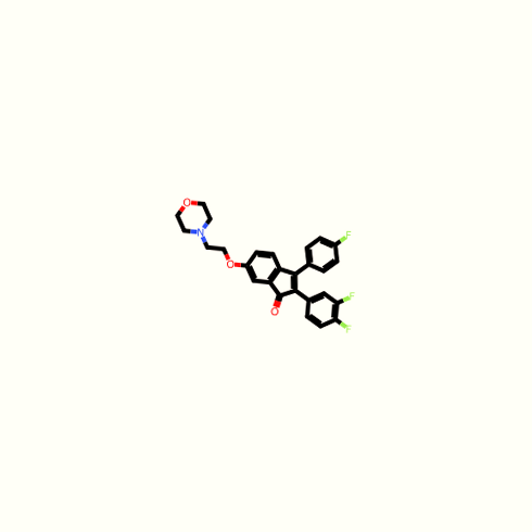 O=C1C(c2ccc(F)c(F)c2)=C(c2ccc(F)cc2)c2ccc(OCCN3CCOCC3)cc21